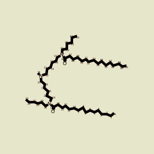 CCCCCCCCCCCCCCCC(=O)N(CCCCCC)CCCCCCN(C)CCCCCCN(CCCCCC)C(=O)CCCCCCCCCCCCCCC